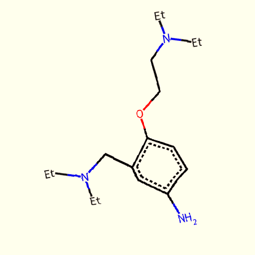 CCN(CC)CCOc1ccc(N)cc1CN(CC)CC